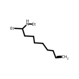 C=CCCCCCCC(CC)NCC